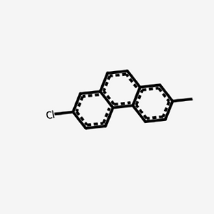 Cc1ccc2c(ccc3cc(Cl)ccc32)c1